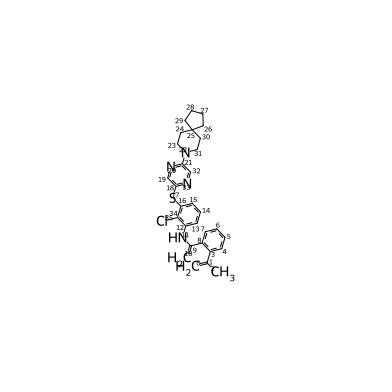 C=C(C)c1ccccc1C(=C)Nc1cccc(Sc2cnc(N3CCC4(CCCC4)CC3)cn2)c1Cl